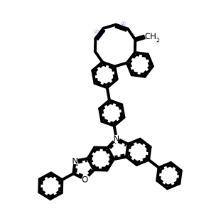 C=C1/C=C\C=C/Cc2ccc(-c3ccc(-n4c5ccc(-c6ccccc6)cc5c5cc6oc(-c7ccccc7)nc6cc54)cc3)cc2-c2ccccc21